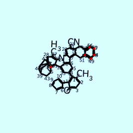 Cc1ccc2oc3ccccc3c2c1-c1cc2c3c4c(c(C#N)cc3n3c5c(C)cc6c(c5c(c1)c23)C1CC2CC(CC6C2)C1)C1c2ccccc2C4c2ccccc21